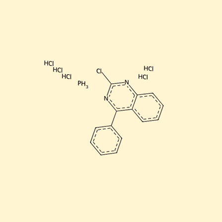 Cl.Cl.Cl.Cl.Cl.Clc1nc(-c2ccccc2)c2ccccc2n1.P